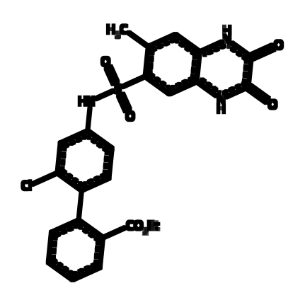 CCOC(=O)c1ccccc1-c1ccc(NS(=O)(=O)c2cc3[nH]c(=O)c(=O)[nH]c3cc2C)cc1Cl